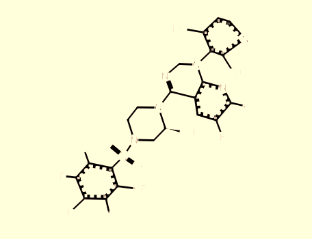 Cc1ccnc(C(C)C)c1N1CN=C(N2CCN(S(=O)(=O)c3c(F)c(F)c(F)c(F)c3C(F)(F)F)C[C@@H]2C)c2cc(F)c(Cl)nc21